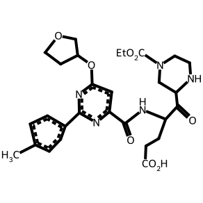 CCOC(=O)N1CCNC(C(=O)C(CCC(=O)O)NC(=O)c2cc(OC3CCOC3)nc(-c3ccc(C)cc3)n2)C1